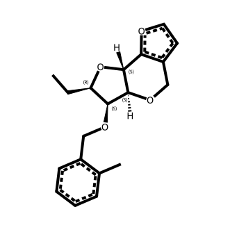 CC[C@H]1O[C@@H]2c3occc3CO[C@H]2[C@H]1OCc1ccccc1C